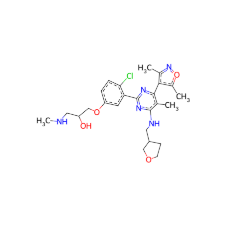 CNCC(O)COc1ccc(Cl)c(-c2nc(NCC3CCOC3)c(C)c(-c3c(C)noc3C)n2)c1